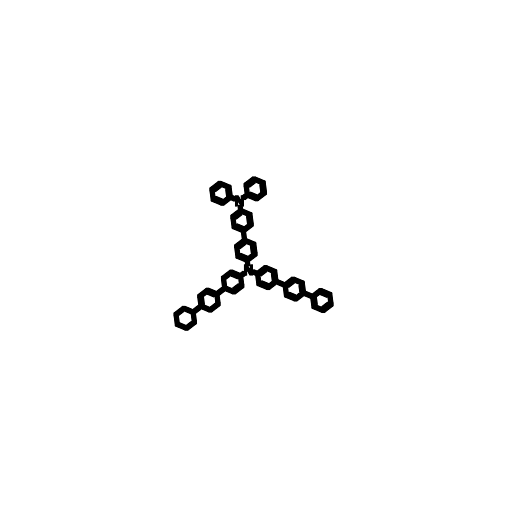 C1=CC(C2=CC=C(C3CCCCC3)CC2)CC=C1N(c1ccc(-c2ccc(-c3ccccc3)cc2)cc1)c1ccc(-c2ccc(N(c3ccccc3)c3ccccc3)cc2)cc1